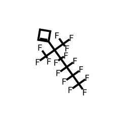 FC(F)(F)C(F)(F)C(F)(F)C(F)(F)C(C1=CCC1)(C(F)(F)F)C(F)(F)F